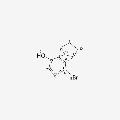 Oc1ccc(Br)c2c1C1CCC2C1